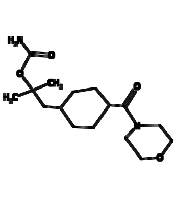 CC(C)(CC1CCC(C(=O)N2CCOCC2)CC1)OC(N)=O